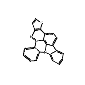 c1ccc2c(c1)c1ccc3c4sccc4nc4c5ccccc5n2c1c34